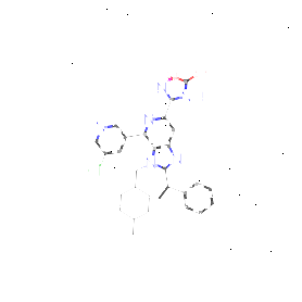 C=C(c1ccccc1)c1nc2cc(-c3noc(=O)[nH]3)nc(-c3cncc(Cl)c3)c2n1CC1CCC(C)CC1